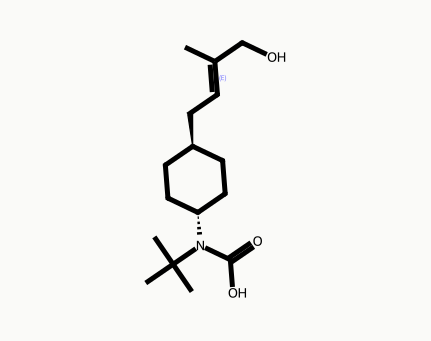 C/C(=C\C[C@H]1CC[C@H](N(C(=O)O)C(C)(C)C)CC1)CO